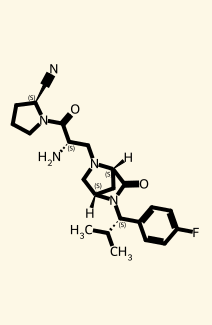 CC(C)[C@@H](c1ccc(F)cc1)N1C(=O)[C@@H]2C[C@H]1CN2C[C@H](N)C(=O)N1CCC[C@H]1C#N